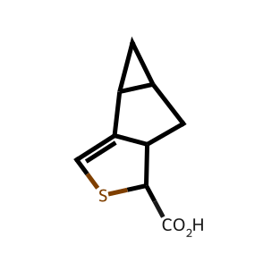 O=C(O)C1SC=C2C3CC3CC21